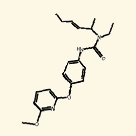 CCC=CC(C)N(CC)C(=O)Nc1ccc(Oc2cccc(OC)n2)cc1